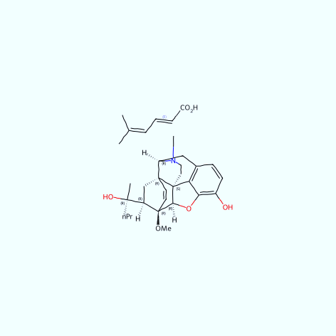 CC(C)=C/C=C/C(=O)O.CCC[C@@](C)(O)[C@H]1C[C@@]23C=C[C@]1(OC)[C@@H]1Oc4c(O)ccc5c4[C@@]12CCN(C)[C@@H]3C5